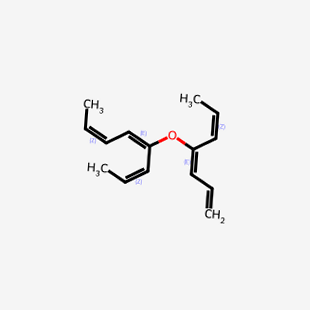 C=C/C=C(\C=C/C)OC(/C=C\C)=C/C=C\C